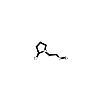 CCOCCN1CCCC1CC